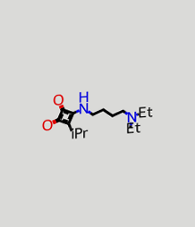 CCN(CC)CCCCNc1c(C(C)C)c(=O)c1=O